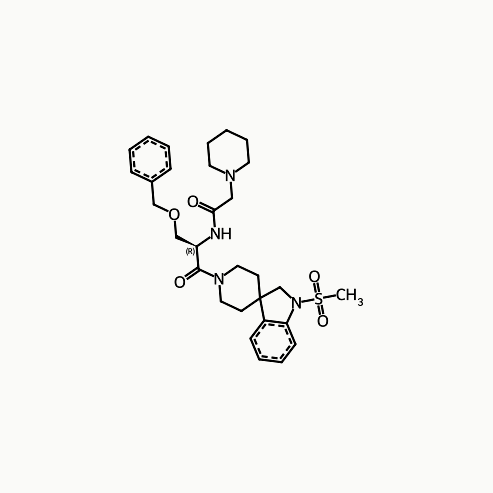 CS(=O)(=O)N1CC2(CCN(C(=O)[C@@H](COCc3ccccc3)NC(=O)CN3CCCCC3)CC2)c2ccccc21